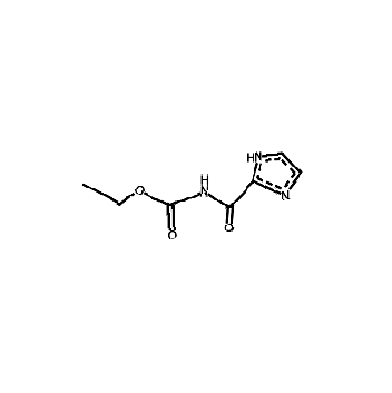 CCOC(=O)NC(=O)c1ncc[nH]1